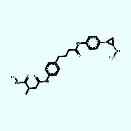 CC(CC(=O)Nc1ccc(CCCC(=O)Nc2ccc([C@H]3C[C@H]3NN)cc2)cc1)C(=O)NO